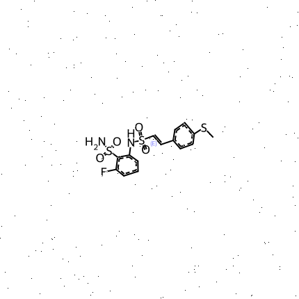 CSc1ccc(/C=C/S(=O)(=O)Nc2cccc(F)c2S(N)(=O)=O)cc1